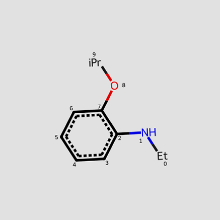 CCNc1ccccc1OC(C)C